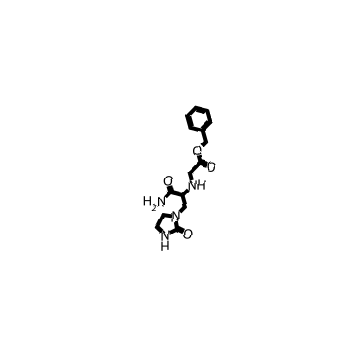 NC(=O)C(CN1CCNC1=O)NCC(=O)OCc1ccccc1